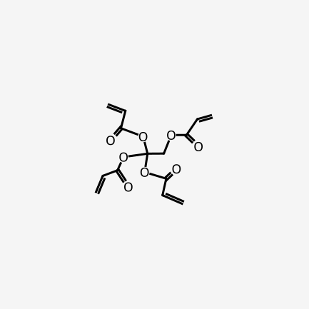 C=CC(=O)OCC(OC(=O)C=C)(OC(=O)C=C)OC(=O)C=C